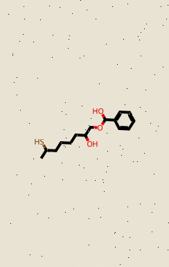 CC(S)CCCCC(O)COC(O)c1ccccc1